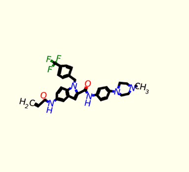 C=CC(=O)Nc1ccc2c(c1)cc(C(=O)Nc1ccc(N3CCN(C)CC3)cc1)n2Cc1ccc(C(F)(F)F)cc1